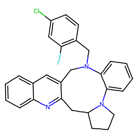 Fc1cc(Cl)ccc1CN1Cc2cc3ccccc3nc2CC2CCCN2c2ccccc21